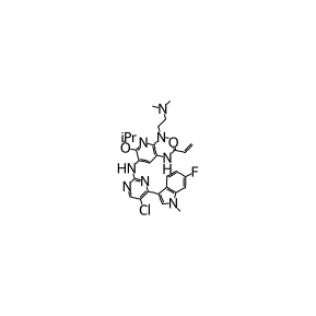 C=CC(=O)Nc1cc(Nc2ncc(Cl)c(-c3cn(C)c4cc(F)ccc34)n2)c(OC(C)C)nc1N(C)CCN(C)C